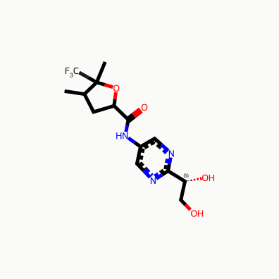 CC1CC(C(=O)Nc2cnc([C@H](O)CO)nc2)OC1(C)C(F)(F)F